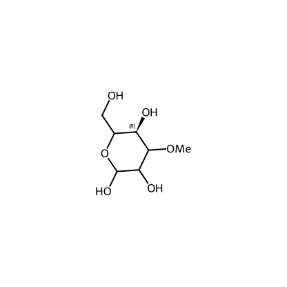 COC1C(O)C(O)OC(CO)[C@H]1O